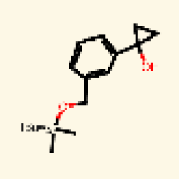 CC(C)(C)[Si](C)(C)OCc1cccc(C2(O)CC2)c1